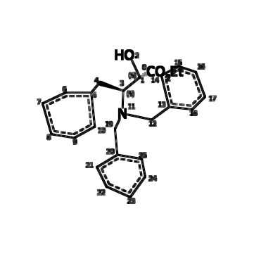 CCOC(=O)[C@@H](O)[C@H](Cc1ccccc1)N(Cc1ccccc1)Cc1ccccc1